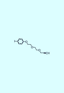 C#CCOCCOCCOc1ccc(I)cc1